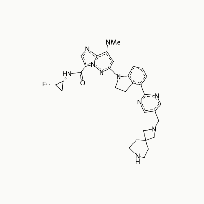 CNc1cc(N2CCc3c(-c4ncc(CN5CC6(CCNCC6)C5)cn4)cccc32)nn2c(C(=O)N[C@@H]3C[C@@H]3F)cnc12